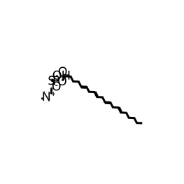 CCCCCC=CCC=CCC=CCC=CCCCC(=O)OP(O)(=S)OCC[N+](C)(C)C